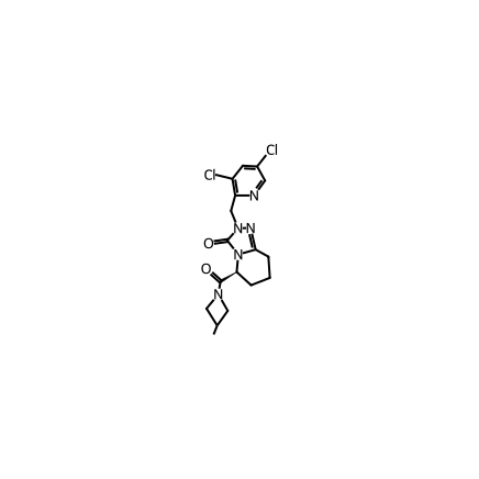 CC1CN(C(=O)[C@@H]2CCCc3nn(Cc4ncc(Cl)cc4Cl)c(=O)n32)C1